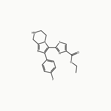 CCOC(=O)c1csc(-c2c(-c3ccc(F)cc3)nc3n2CCNC3)n1